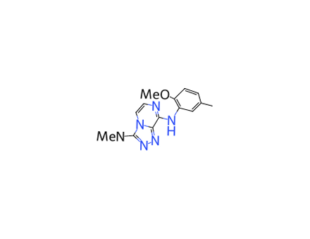 CNc1nnc2c(Nc3cc(C)ccc3OC)nccn12